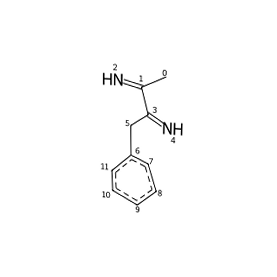 CC(=N)C(=N)Cc1ccccc1